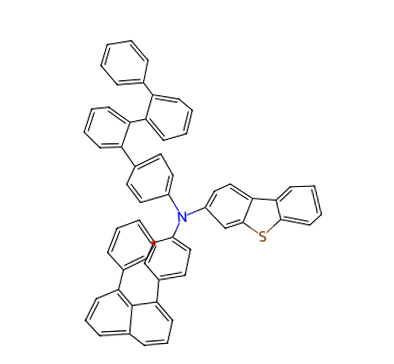 c1ccc(-c2ccccc2-c2ccccc2-c2ccc(N(c3ccc(-c4cccc5cccc(-c6ccccc6)c45)cc3)c3ccc4c(c3)sc3ccccc34)cc2)cc1